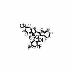 O=S(=O)(c1cc(F)cc(F)c1O)n1c(-c2cc3ccccc3s2)cc2cc(Cl)ccc21